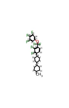 CC1CCC(C2CCC(c3ccc(C(F)(F)Oc4cc(F)c(F)c(F)c4)c(F)c3F)CC2)CC1